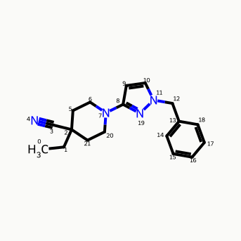 CCC1(C#N)CCN(c2ccn(Cc3ccccc3)n2)CC1